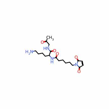 CC(=O)CNC(=O)C(CCCCN)NC(=O)CCCCCN1C(=O)C=CC1=O